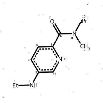 CCNc1ccc(C(=O)N(C)C(C)C)nc1